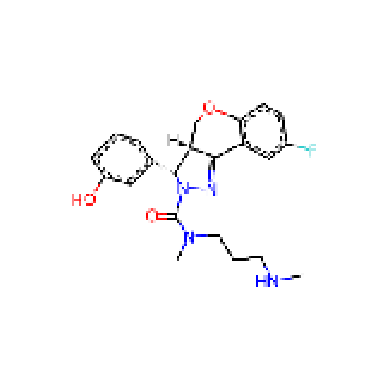 CNCCCN(C)C(=O)N1N=C2c3cc(F)ccc3OC[C@H]2[C@H]1c1cccc(O)c1